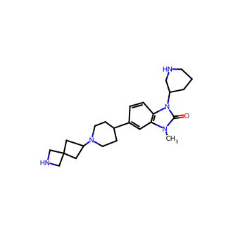 Cn1c(=O)n(C2CCCNC2)c2ccc(C3CCN(C4CC5(CNC5)C4)CC3)cc21